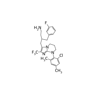 Cc1cc(C)c(N2CCCn3c2nc(C(F)(F)F)c3CC(CCN)Cc2cccc(F)c2)c(Cl)c1